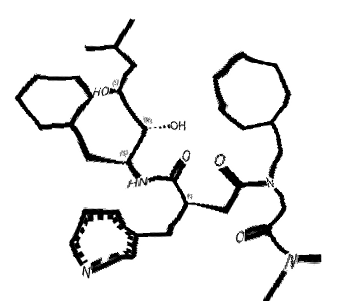 CC(C)C[C@H](O)[C@H](O)[C@H](CC1CCCCC1)NC(=O)[C@@H](CC(=O)N(CC(=O)N(C)C)CC1CCCCCC1)Cc1cccnc1